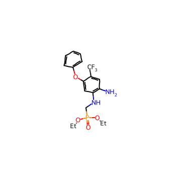 CCOP(=O)(CNc1cc(Oc2ccccc2)c(C(F)(F)F)cc1N)OCC